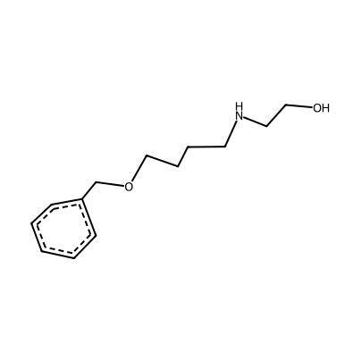 OCCNCCCCOCc1ccccc1